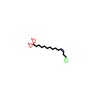 COC(CCCCCCCCC/C=C\CCCl)OC